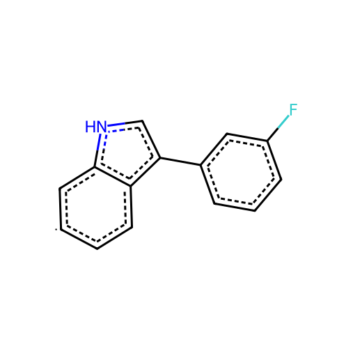 Fc1cccc(-c2c[nH]c3c[c]ccc23)c1